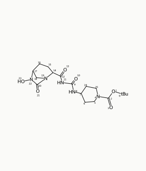 CC(C)(C)OC(=O)N1CCC(NC(=O)NC(=O)C2CCC3CN2C(=O)N3O)CC1